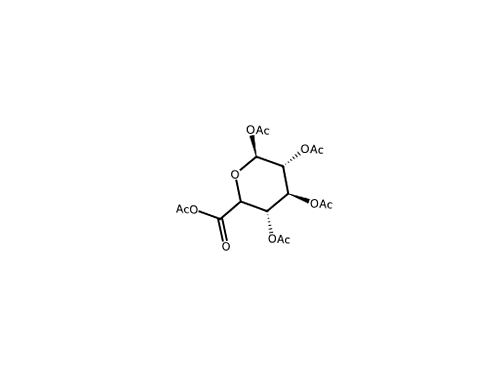 CC(=O)OC(=O)C1O[C@@H](OC(C)=O)[C@H](OC(C)=O)[C@@H](OC(C)=O)[C@@H]1OC(C)=O